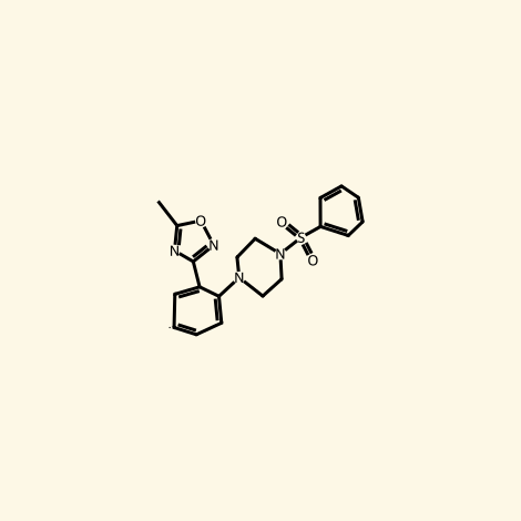 Cc1nc(-c2c[c]ccc2N2CCN(S(=O)(=O)c3ccccc3)CC2)no1